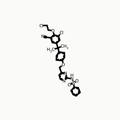 CC(C)(c1ccc(OCc2ccnc(NS(=O)(=O)c3ccccc3)n2)cc1)c1cc(Cl)c(OCCCl)c(C#N)c1